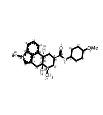 COC1CCC(OC(=O)[C@@H]2C[C@@H]3c4cccc5c4c(cn5C(C)C)C[C@H]3N(C)C2)CC1